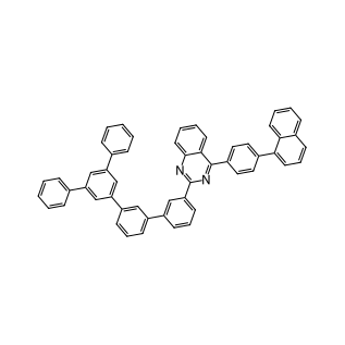 c1ccc(-c2cc(-c3ccccc3)cc(-c3cccc(-c4cccc(-c5nc(-c6ccc(-c7cccc8ccccc78)cc6)c6ccccc6n5)c4)c3)c2)cc1